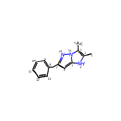 CC(=O)c1c(C)[nH]c2cc(-c3ccccc3)nn12